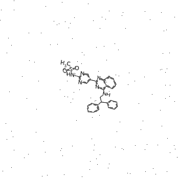 CS(=O)(=O)Nc1ncc(-c2nc(NCC(c3ccccc3)c3ccccc3)c3ccccc3n2)cn1